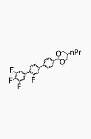 CCCC1COC(c2ccc(-c3ccc(-c4cc(F)c(F)c(F)c4)c(F)c3)cc2)OC1